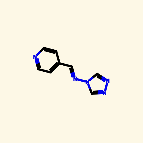 C(=Nn1cnnc1)c1ccncc1